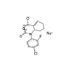 O=C([O-])C1=CCCCC1N(c1ccc(Cl)cc1F)[SH](=O)=O.[Na+]